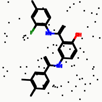 C=C(Nc1ccc(O)c(C(=C)Nc2ccc(C)cc2F)c1)c1ccc(C)c(C)c1